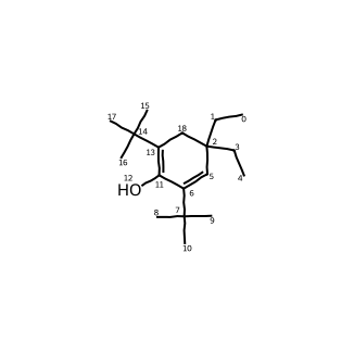 CCC1(CC)C=C(C(C)(C)C)C(O)=C(C(C)(C)C)C1